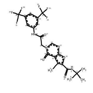 Cc1c(C(=O)NC(C)(C)C)sc2ncn(CC(=O)Nc3cc(C(F)(F)F)cc(C(F)(F)F)c3)c(=O)c12